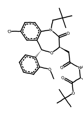 COc1ccccc1[C@H]1O[C@H](CC(=O)N[C@@H](C)C(=O)OC(C)(C)C)C(=O)N(CC(C)(C)C)c2ccc(Cl)cc21